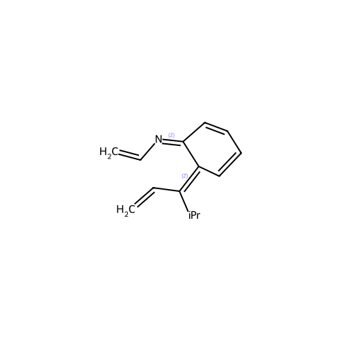 C=C/N=C1/C=CC=C/C1=C(/C=C)C(C)C